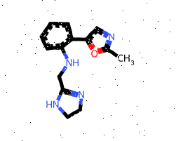 Cc1ncc(-c2ccccc2NCC2=NCCN2)o1